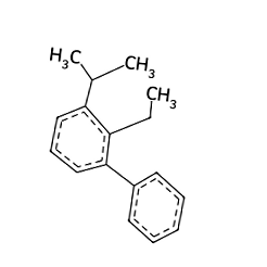 CCc1c(-c2ccccc2)cccc1C(C)C